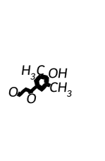 Cc1cc(C(=O)CC=O)cc(C)c1O